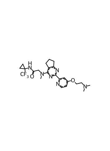 CN(C)CCOc1ccnc(-c2nc3c(c(N(C)CC(=O)NC4(C(F)(F)F)CC4)n2)CCC3)c1